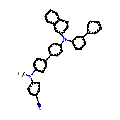 CN(c1ccc(C#N)cc1)c1ccc(-c2ccc(N(c3cccc(-c4ccccc4)c3)c3ccc4ccccc4c3)cc2)cc1